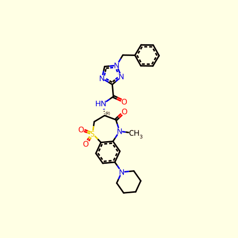 CN1C(=O)[C@@H](NC(=O)c2ncn(Cc3ccccc3)n2)CS(=O)(=O)c2ccc(N3CCCCC3)cc21